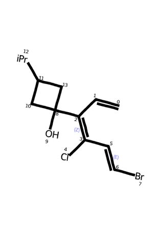 C=C/C(=C(Cl)\C=C\Br)C1(O)CC(C(C)C)C1